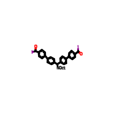 CCCCCCCCC(c1ccc(-c2ccc(C(=O)I)cc2)cc1)c1ccc(-c2ccc(C(=O)I)cc2)cc1